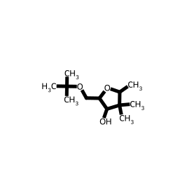 CC1OC(COC(C)(C)C)C(O)C1(C)C